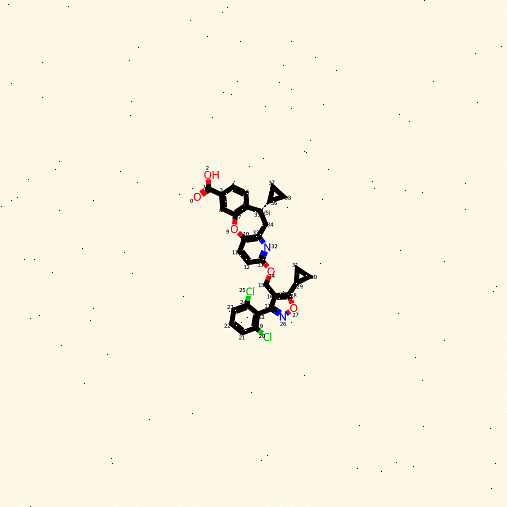 O=C(O)c1ccc2c(c1)Oc1ccc(OCc3c(-c4c(Cl)cccc4Cl)noc3C3CC3)nc1C[C@H]2C1CC1